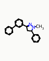 CN1N=C(c2cccc(-c3ccccc3)c2)CC1c1ccccc1